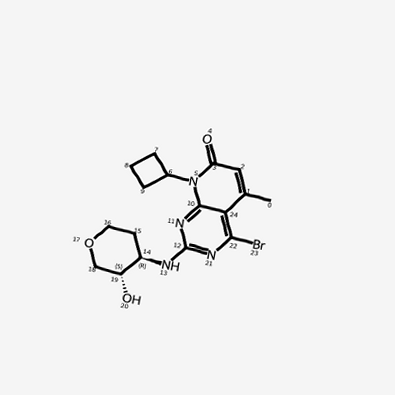 Cc1cc(=O)n(C2CCC2)c2nc(N[C@@H]3CCOC[C@H]3O)nc(Br)c12